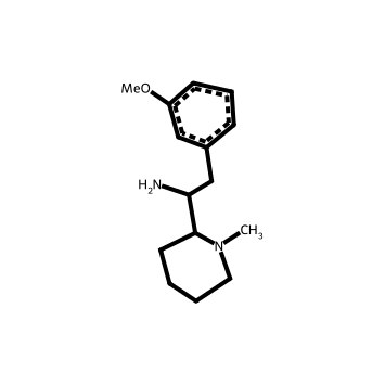 COc1cccc(CC(N)C2CCCCN2C)c1